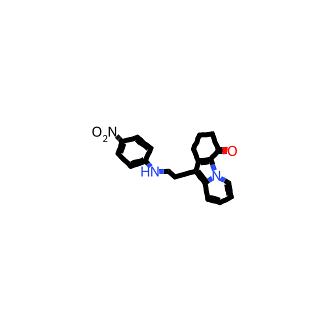 O=C1CCCc2c(CCNc3ccc([N+](=O)[O-])cc3)c3ccccn3c21